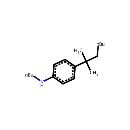 CCCCNc1ccc(C(C)(C)CC(C)(C)C)cc1